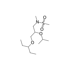 CCC(CC)OCC(CN(C)S(C)(=O)=O)OC(C)C